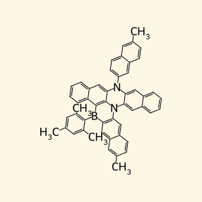 Cc1cc(C)c(B2c3cc4cc(C)ccc4cc3N3c4cc5ccccc5cc4N(c4ccc5cc(C)ccc5c4)c4cc5ccccc5c2c43)c(C)c1